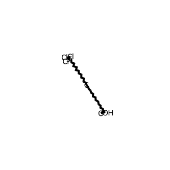 O=C(O)CCCCCCCCCCCCCCCCCCCCCCCCCCC[Si](Cl)(Cl)Cl